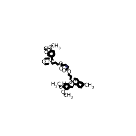 COc1ccc(C[C@@H]2c3ccc(C)cc3CC[N@@+]2(C)CCCOC(=O)/C=C\C(=O)OCCC[N+]2(Cc3ccc(OC)c(OC)c3)CCOCC2)cc1OC